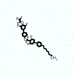 CCCCCCCCc1ccc(-c2cc(F)c(C(F)(F)Oc3ccc(-c4cc(F)c(OC(F)=C(F)F)c(F)c4)cc3)c(F)c2)cc1